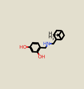 CC1(C)C2CCC(CNCc3ccc(O)cc3O)C1C2